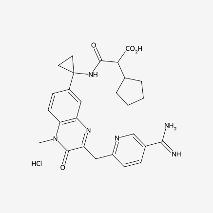 Cl.Cn1c(=O)c(Cc2ccc(C(=N)N)cn2)nc2cc(C3(NC(=O)C(C(=O)O)C4CCCC4)CC3)ccc21